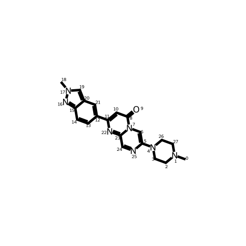 CN1CCN(c2cn3c(=O)cc(-c4ccc5nn(C)cc5c4)nc3cn2)CC1